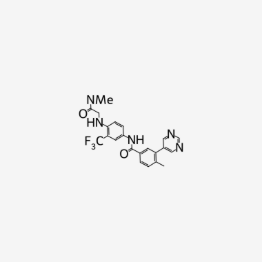 CNC(=O)CNc1ccc(NC(=O)c2ccc(C)c(-c3cncnc3)c2)cc1C(F)(F)F